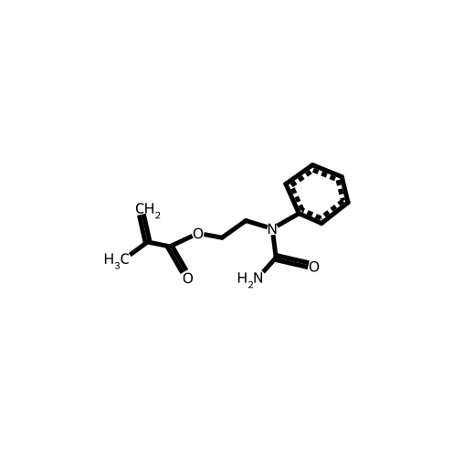 C=C(C)C(=O)OCCN(C(N)=O)c1ccccc1